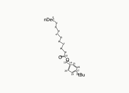 CCCCCCCCCCCCCCCCCCCC(=O)OCc1ccc(C(C)(C)C)cc1